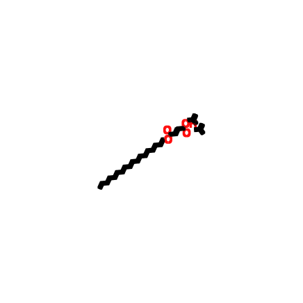 C=C(C)C.C=C(C)C.CCCCCCCCCCCCCCCCCCOC(=O)C=CC(=O)O